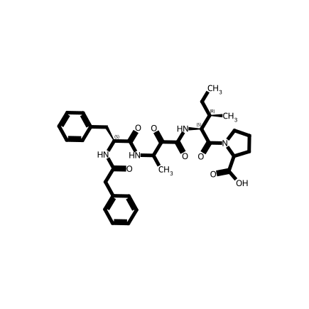 CC[C@@H](C)[C@H](NC(=O)C(=O)C(C)NC(=O)[C@H](Cc1ccccc1)NC(=O)Cc1ccccc1)C(=O)N1CCCC1C(=O)O